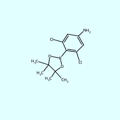 CC1(C)OB(c2c(Cl)cc(N)cc2Cl)OC1(C)C